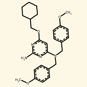 COc1ccc(CN(Cc2ccc(OC)cc2)c2cc(OCC3CCCCC3)nc(N)n2)cc1